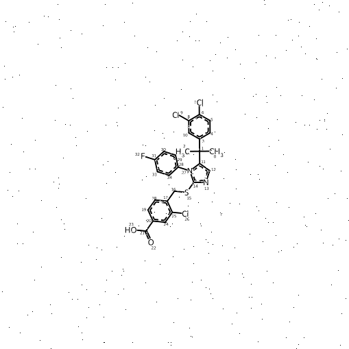 CC(C)(c1ccc(Cl)c(Cl)c1)c1cnc(SCc2ccc(C(=O)O)cc2Cl)n1-c1ccc(F)cc1